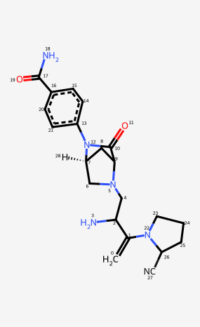 C=C(C(N)CN1C[C@@H]2CC1C(=O)N2c1ccc(C(N)=O)cc1)N1CCCC1C#N